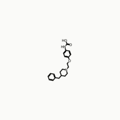 O=C(O)Nc1ccc(OCCN2CCC(Cc3ccccc3)CC2)cc1